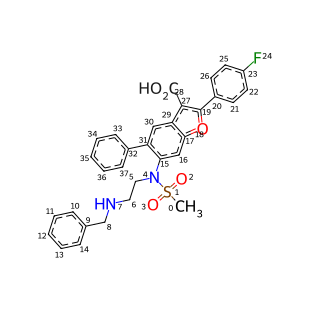 CS(=O)(=O)N(CCNCc1ccccc1)c1cc2oc(-c3ccc(F)cc3)c(C(=O)O)c2cc1-c1ccccc1